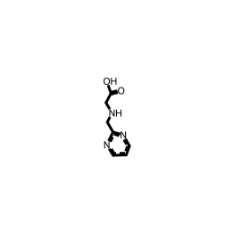 O=C(O)CNCc1ncccn1